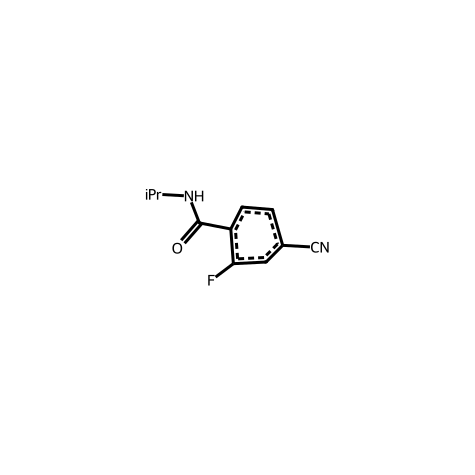 CC(C)NC(=O)c1ccc(C#N)cc1F